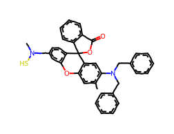 Cc1cc2c(cc1N(Cc1ccccc1)Cc1ccccc1)C1(OC(=O)c3ccccc31)c1ccc(N(C)S)cc1O2